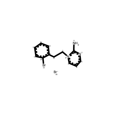 Nc1nccc[n+]1CCc1ccccc1Br.[Br-]